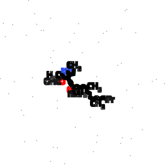 CCCCO[C@@](C)(C#Cc1c2c(nc(C)c1OC=O)N(C)CC2)CCCC(C)CCCC(C)CCCC(C)C